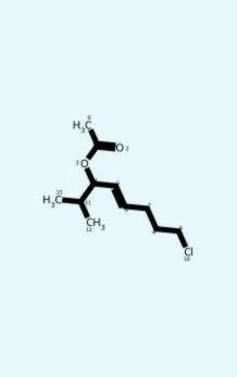 CC(=O)OC(C=CCCCCl)C(C)C